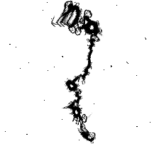 CN(CCCCCCCCOc1ccc2c(c1)C(=O)N(C1CCC(=O)NC1=O)C2=O)Cc1cccc(OCCn2ccc3ccc(C(=O)NOC4CCCCO4)cc32)c1